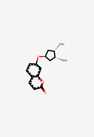 CC(=O)O[C@H]1C[C@H](Oc2ccc3ccc(=O)oc3c2)C[C@H]1OC(C)=O